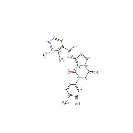 Cc1nccc(C(=O)Nc2cnn3c2C(=O)N(c2ccc(C(F)(F)F)c(Cl)c2)C[C@@H]3C)c1C